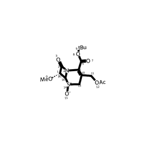 CO[C@@H]1C(=O)N2C(C(=O)OC(C)(C)C)=C(COC(C)=O)C[S+]([O-])C12